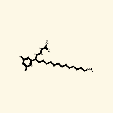 Cc1cc(C)cc(C(CCCCCCCCCCCCCN)CCCC(=O)O)c1